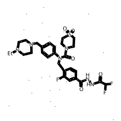 CCN1CCN(Cc2ccc(N(Cc3ccc(C(=O)NNC(=O)C(F)F)cc3F)C(=O)N3CCS(=O)(=O)CC3)cc2)CC1